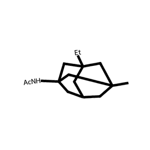 CCC12CC3CC(C)(C1)CC(NC(C)=O)(C3)C2